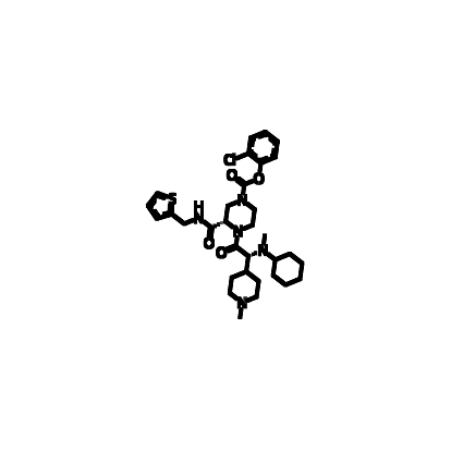 CN1CCC([C@H](C(=O)N2CCN(C(=O)Oc3ccccc3Cl)C[C@H]2C(=O)NCc2cccs2)N(C)C2CCCCC2)CC1